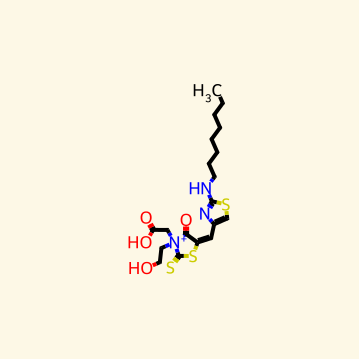 CCCCCCCCNc1nc(C=C2SC(=S)[N+](CCO)(CC(=O)O)C2=O)cs1